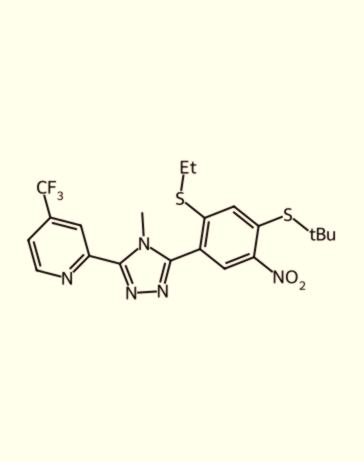 CCSc1cc(SC(C)(C)C)c([N+](=O)[O-])cc1-c1nnc(-c2cc(C(F)(F)F)ccn2)n1C